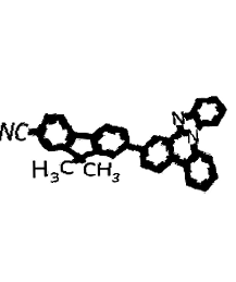 CC1(C)c2cc(C#N)ccc2-c2ccc(-c3ccc4c5ccccc5n5c6ccccc6nc5c4c3)cc21